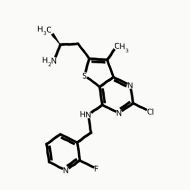 Cc1c(C[C@H](C)N)sc2c(NCc3cccnc3F)nc(Cl)nc12